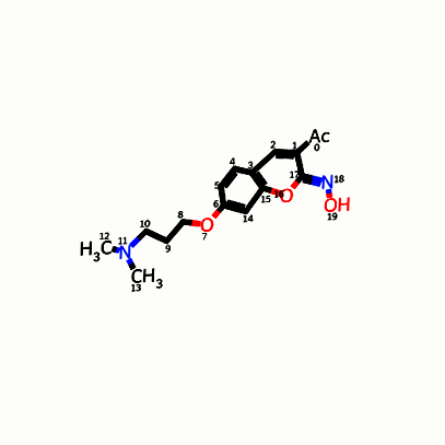 CC(=O)c1cc2ccc(OCCCN(C)C)cc2oc1=NO